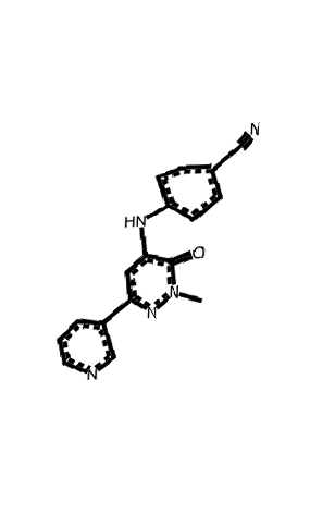 Cn1nc(-c2cccnc2)cc(Nc2ccc(C#N)cc2)c1=O